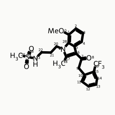 COc1cccc2c(C(=O)Cc3ccccc3C(F)(F)F)c(C)n(CCCNS(C)(=O)=O)c12